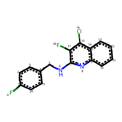 Fc1ccc(CNc2nc3ccccc3c(Cl)c2F)cc1